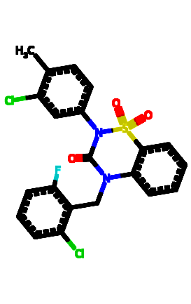 Cc1ccc(N2C(=O)N(Cc3c(F)cccc3Cl)c3ccccc3S2(=O)=O)cc1Cl